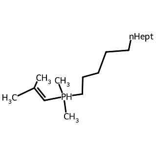 CCCCCCCCCCCC[PH](C)(C)C=C(C)C